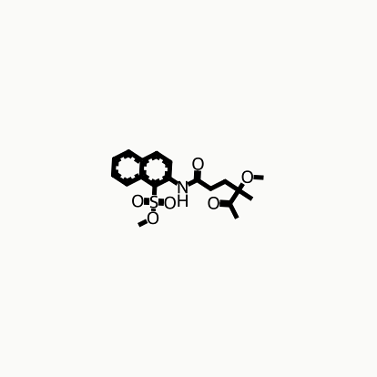 COC(C)(CCC(=O)Nc1ccc2ccccc2c1S(=O)(=O)OC)C(C)=O